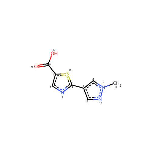 Cn1cc(-c2ncc(C(=O)O)s2)cn1